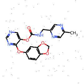 Cc1cnc(CNC(=O)Oc2cncnc2Oc2ccc3c(c2)OCO3)cn1